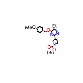 CCc1cnc(C2=CCN(C(=O)OC(C)(C)C)C2)nc1OCc1ccc(OC)cc1